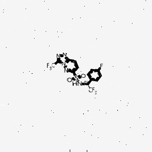 O=S(=O)(N[C@H](c1ccc(F)cc1)C(F)(F)F)c1ccc2nnc(C(F)(F)F)n2n1